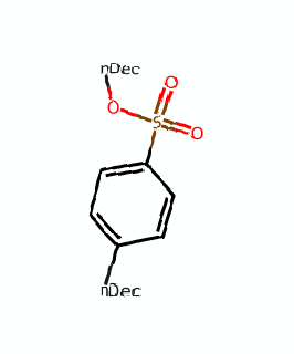 CCCCCCCCCCOS(=O)(=O)c1ccc(CCCCCCCCCC)cc1